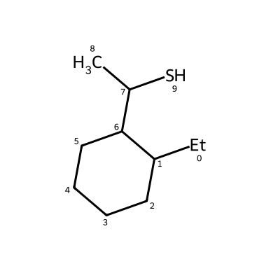 CCC1CCCCC1C(C)S